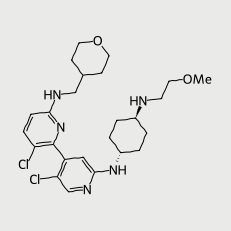 COCCN[C@H]1CC[C@H](Nc2cc(-c3nc(NCC4CCOCC4)ccc3Cl)c(Cl)cn2)CC1